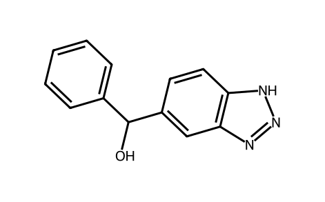 OC(c1ccccc1)c1ccc2[nH]nnc2c1